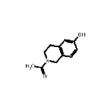 CC(=O)N1CCc2cc(O)ccc2C1